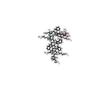 CCN(C(=O)CN)C(N)CN(C(=O)[C@H](CO)NC(=O)[C@@H](NC(=O)[C@H](Cc1ccccc1)NC(=O)[C@@H](NC(=O)[C@H](CCCCN)NC(=O)[C@@H](Cc1c[nH]c2ccccc12)NC(=O)[C@H](Cc1ccccc1)NC(=O)[C@H](Cc1ccccc1)NC(=O)[C@H](CC(N)=O)NC(=O)[C@H](CCCCN)NC(=O)[C@H](CS)NC(=O)CN)[C@@H](C)O)[C@@H](C)O)[C@@H](CS)C(=O)O